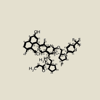 C#Cc1c(F)ccc2cc(O)cc(-c3ncc4c(NCC5(N(C)C(=O)C=C)CCCC5)nc(OC[C@]5(C)C[C@@H](F)CN5c5ccc(C(F)(F)F)nc5)nc4c3F)c12